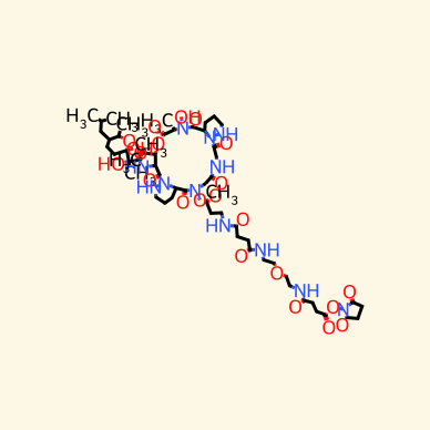 CC(C)CC1CCC(O)(C(C)(O)C(=O)NC2C(=O)N3NCCCC3C(=O)N(OC(=O)CCNC(=O)CCC(=O)NCCOCCNC(=O)CCC(=O)ON3C(=O)CCC3=O)C(C)C(=O)NCC(=O)N3NCCCC3C(=O)N(O)C(C)C(=O)OC2C(C)C)OC1C